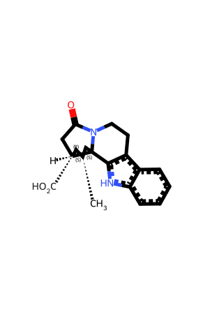 C[C@H]1CC23c4[nH]c5ccccc5c4CCN2C(=O)C[C@H]3[C@@H]1C(=O)O